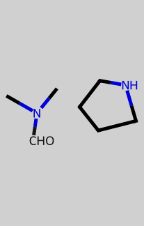 C1CCNC1.CN(C)C=O